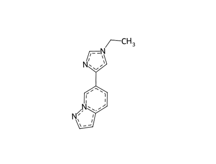 CCn1cnc(-c2ccc3ccnn3c2)c1